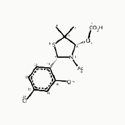 CC(=O)N1[C@@H](OC(=O)O)C(C)(C)S[C@H]1c1ccc(Cl)cc1Cl